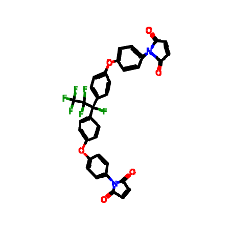 O=C1C=CC(=O)N1c1ccc(Oc2ccc(C(F)(c3ccc(Oc4ccc(N5C(=O)C=CC5=O)cc4)cc3)C(F)(F)C(F)(F)F)cc2)cc1